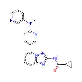 CN(c1cccnc1)c1ccc(-c2cccc3nc(NC(=O)C4CC4)nn23)cn1